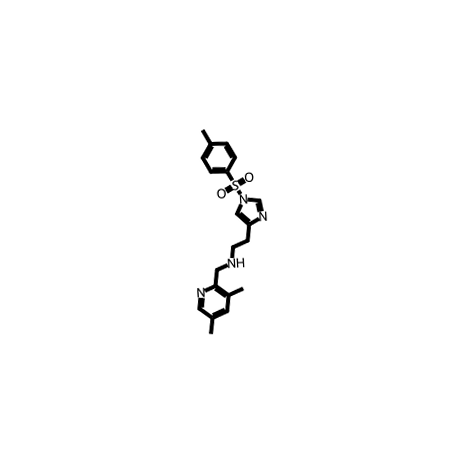 Cc1ccc(S(=O)(=O)n2cnc(CCNCc3ncc(C)cc3C)c2)cc1